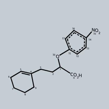 O=C(O)C(CCC1=CCCCC1)Oc1ccc([N+](=O)[O-])cc1